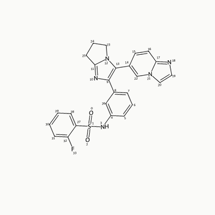 O=S(=O)(Nc1cccc(-c2nc3n(c2-c2ccc4nccn4c2)CCC3)c1)c1ccccc1F